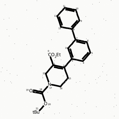 CCOC(=O)C1=C(c2cccc(-c3ccccc3)c2)CCN(C(=O)OC(C)(C)C)C1